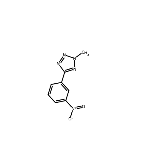 Cn1nnc(-c2cccc([N+](=O)[O-])c2)n1